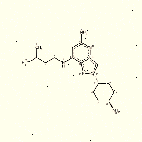 CC(C)CCNc1cc(N)nn2cc([C@H]3CC[C@H](N)CC3)nc12